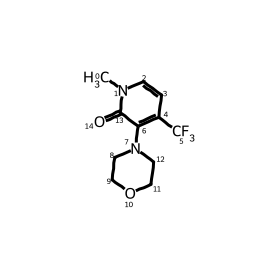 Cn1ccc(C(F)(F)F)c(N2CCOCC2)c1=O